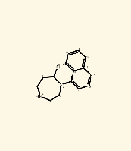 ClC1CCNCCN1c1ccnc2ccccc12